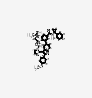 COc1ccc(-c2nn3ccc(-c4cc(C(=O)NC5(c6ccccc6)CC5)ccc4C)cc3c2-c2nccn2COCC[Si](C)(C)C)cc1